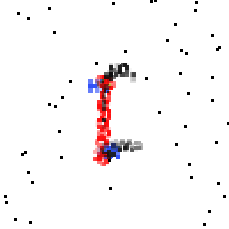 CSc1ncc2c(n1)N(CCOCCOCCOCCOCCOCCOCCNS(=O)(=O)c1ccc([N+](=O)[O-])cc1)C(=O)OC2